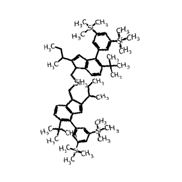 CCC(C)C1=Cc2c(ccc(C(C)(C)C)c2-c2cc([Si](C)(C)C)cc([Si](C)(C)C)c2)C1C[SiH2]CC1C(C(C)CC)=Cc2c1ccc(C(C)(C)C)c2-c1cc([Si](C)(C)C)cc([Si](C)(C)C)c1